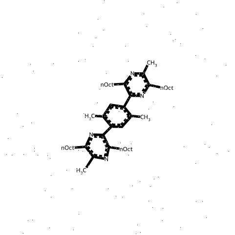 CCCCCCCCc1nc(-c2cc(C)c(-c3nc(CCCCCCCC)c(C)nc3CCCCCCCC)cc2C)c(CCCCCCCC)nc1C